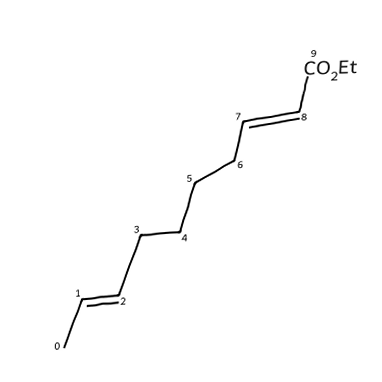 C/C=C/CCCC/C=C/C(=O)OCC